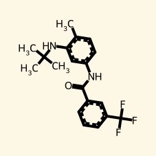 Cc1ccc(NC(=O)c2cccc(C(F)(F)F)c2)cc1NC(C)(C)C